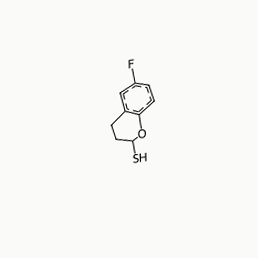 Fc1ccc2c(c1)CCC(S)O2